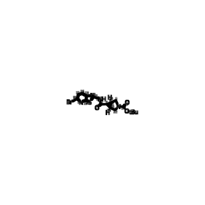 CC(C)(C)OC(=O)N1C[C@@H]2C(C(=O)Nc3nc4ccc(Br)nc4s3)[C@@H]2C1